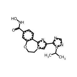 CC(C)n1ncnc1-c1cn2c(n1)-c1ccc(C(=O)NO)cc1OCC2